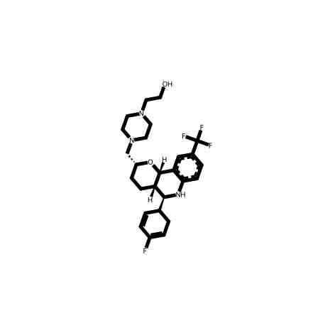 OCCN1CCN(C[C@H]2CC[C@@H]3[C@H](O2)c2cc(C(F)(F)F)ccc2N[C@H]3C2C=CC(F)=CC2)CC1